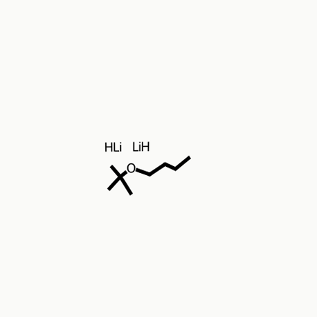 CCCCOC(C)(C)C.[LiH].[LiH]